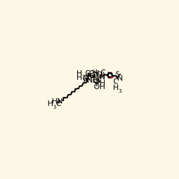 CNCCCCCCCCCCCCCC(=O)N[C@H](C(=O)N1C[C@H](O)C[C@H]1C(=O)N[C@@H](C)c1ccc(-c2scnc2C)cc1)C(C)(C)C